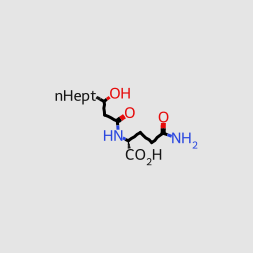 CCCCCCCC(O)CC(=O)N[C@@H](CCC(N)=O)C(=O)O